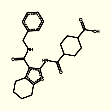 O=C(NCc1ccccc1)c1c(NC(=O)C2CCC(C(=O)O)CC2)sc2c1CCCC2